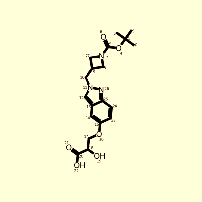 CC(C)(C)OC(=O)N1CC(Cn2cc3cc(OCC(O)C(=O)O)ccc3n2)C1